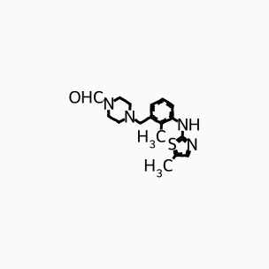 Cc1cnc(Nc2cccc(CN3CCN(C=O)CC3)c2C)s1